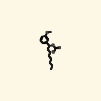 CCCCCCCC(OC(=O)Cl)c1cccc(OC)c1